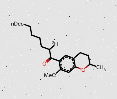 [2H]C(CCCCCCCCCCCCCC)C(=O)c1cc2c(cc1OC)OC(C)CC2